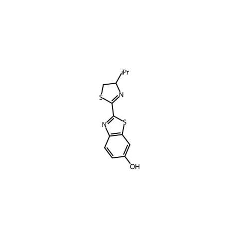 CC(C)C1CSC(c2nc3ccc(O)cc3s2)=N1